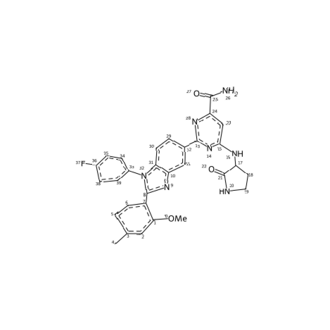 COc1cc(C)ccc1-c1nc2cc(-c3nc(NC4CCNC4=O)cc(C(N)=O)n3)ccc2n1-c1ccc(F)cc1